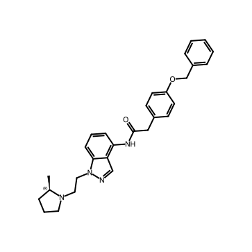 C[C@@H]1CCCN1CCn1ncc2c(NC(=O)Cc3ccc(OCc4ccccc4)cc3)cccc21